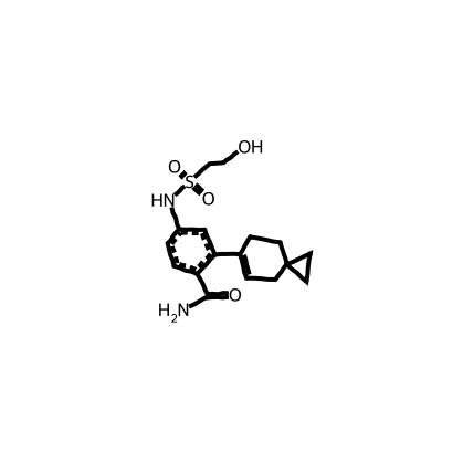 NC(=O)c1ccc(NS(=O)(=O)CCO)cc1C1=CCC2(CC1)CC2